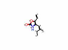 C=Cc1oc(=O)[nH]c1/C=C(/C)CC